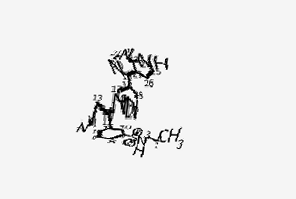 CCCNS(=O)(=O)c1cccc(C(CC#N)n2cc(-c3ncnc4[nH]ccc34)cn2)c1